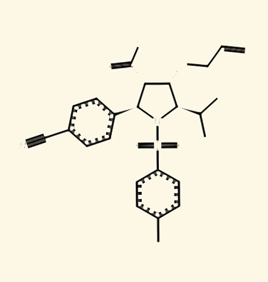 C=CCS[C@H]1[C@@H](C(=O)O)[C@H](c2ccc(C#N)cc2)N(S(=O)(=O)c2ccc(C)cc2)[C@@H]1C(C)C